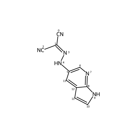 N#CC(C#N)=NNc1cnc2[nH]ccc2c1